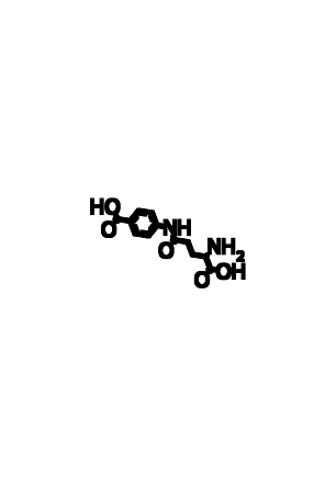 N[C@@H](CCC(=O)Nc1ccc(C(=O)O)cc1)C(=O)O